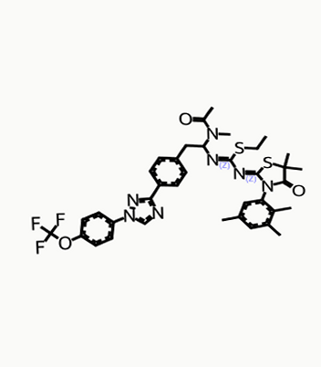 CCSC(=N\C(Cc1ccc(-c2ncn(-c3ccc(OC(F)(F)F)cc3)n2)cc1)N(C)C(C)=O)/N=C1\SC(C)(C)C(=O)N1c1cc(C)cc(C)c1C